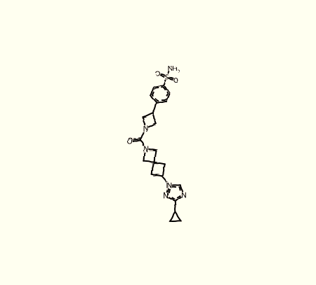 NS(=O)(=O)c1ccc(C2CN(C(=O)N3CC4(CC(n5cnc(C6CC6)n5)C4)C3)C2)cc1